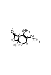 COC1=C(N)N2C(=O)O[C@@H]2SC1